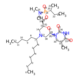 CCCCCCCC(CCCCC)N1C[C@@H](COP(=O)(C(C)CC)N(C)C)O[C@@H](n2cc(C)c(=O)[nH]c2=O)C1